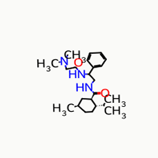 CC(C)[C@@H]1CC[C@@H](C)C[C@H]1C(=O)NCC(NC(=O)CN(C)C)c1ccccc1